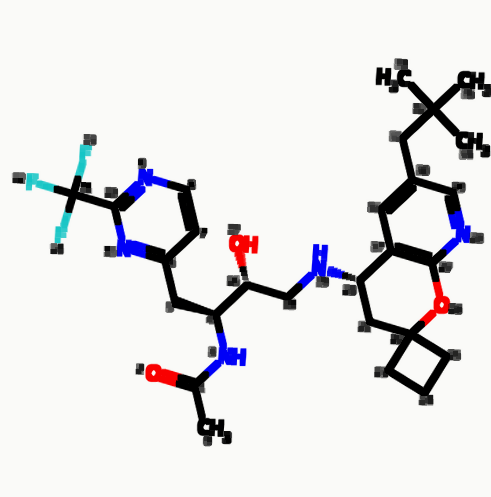 CC(=O)N[C@@H](Cc1ccnc(C(F)(F)F)n1)[C@H](O)CN[C@H]1CC2(CCC2)Oc2ncc(CC(C)(C)C)cc21